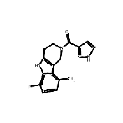 Cc1ccc(F)c2[nH]c3c(c12)CN(C(=O)c1cc[nH]n1)CC3